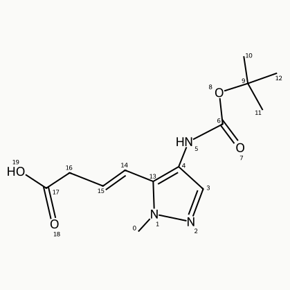 Cn1ncc(NC(=O)OC(C)(C)C)c1/C=C/CC(=O)O